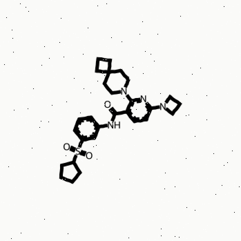 O=C(Nc1cccc(S(=O)(=O)C2CCCC2)c1)c1ccc(N2CCC2)nc1N1CCC2(CCC2)CC1